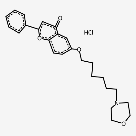 Cl.O=c1cc(-c2ccccc2)oc2ccc(OCCCCCCN3CCOCC3)cc12